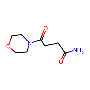 NC(=O)[CH]CC(=O)N1CCOCC1